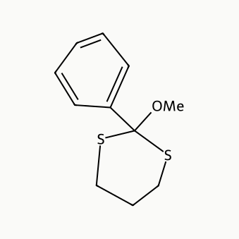 COC1(c2ccccc2)SCCCS1